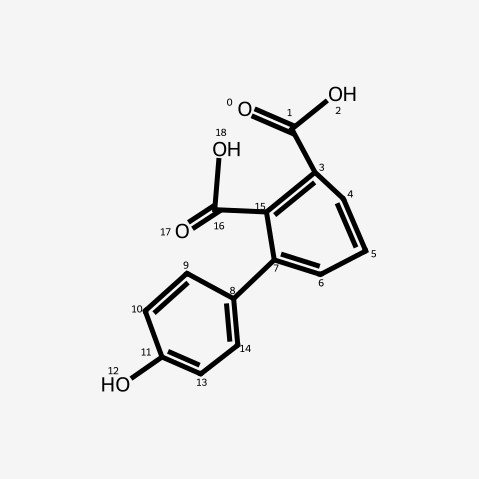 O=C(O)c1cccc(-c2ccc(O)cc2)c1C(=O)O